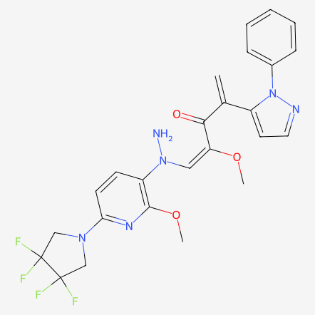 C=C(C(=O)/C(=C\N(N)c1ccc(N2CC(F)(F)C(F)(F)C2)nc1OC)OC)c1ccnn1-c1ccccc1